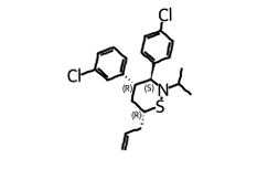 C=CC[C@@H]1C[C@H](c2cccc(Cl)c2)[C@@H](c2ccc(Cl)cc2)N(C(C)C)S1